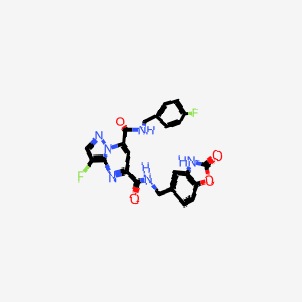 O=C(NCc1ccc2oc(=O)[nH]c2c1)c1cc(C(=O)NCc2ccc(F)cc2)n2ncc(F)c2n1